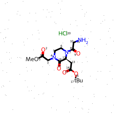 COC(=O)CN1CCN(C(=O)CN)[C@@H](CC(=O)OC(C)(C)C)C1=O.Cl